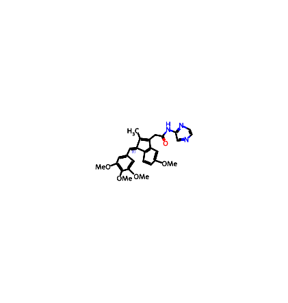 COc1ccc2c(c1)C(CC(=O)Nc1cnccn1)=C(C)/C2=C/c1cc(OC)c(OC)c(OC)c1